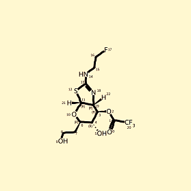 O=C(O[C@H]1[C@H](O)[C@@H](CCO)O[C@@H]2SC(NCCF)=N[C@H]12)C(F)(F)F